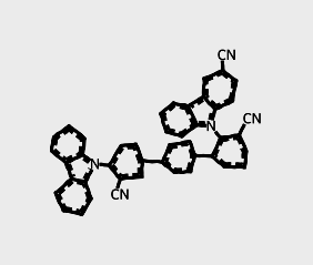 N#Cc1ccc2c(c1)c1ccccc1n2-c1c(C#N)cccc1-c1ccc(-c2ccc(-n3c4ccccc4c4ccccc43)c(C#N)c2)cc1